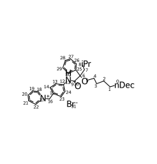 CCCCCCCCCCCCCCOC(CC(C)C)(C(=O)Nc1ccc(C[n+]2ccccc2)cc1)c1ccccc1.[Br-]